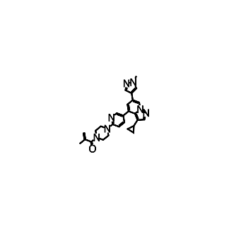 C=C(C)C(=O)N1CCN(c2ccc(-c3cc(-c4cnn(C)c4)cn4ncc(C5CC5)c34)cn2)CC1